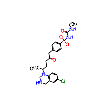 CCCCNC(=O)NS(=O)(=O)c1ccc(CC(=O)CCC(C=O)N2CNCc3cc(Cl)ccc32)cc1